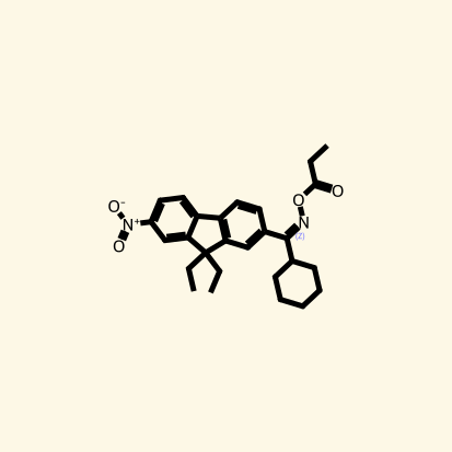 CCC(=O)O/N=C(\c1ccc2c(c1)C(CC)(CC)c1cc([N+](=O)[O-])ccc1-2)C1CCCCC1